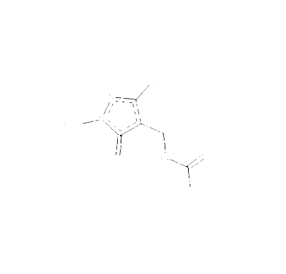 C=C(NCc1c(CC)[nH]n(C)c1=O)C(C)C